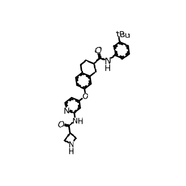 CC(C)(C)c1cccc(NC(=O)C2CCc3ccc(Oc4ccnc(NC(=O)C5CNC5)c4)cc3C2)c1